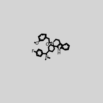 COc1cccc(CC(=O)N2CCc3c([nH]c4ccccc34)C23CCC(C(c2ccc(F)cc2)N(C)C)CC3)c1